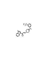 CC(c1cccc(C(F)(F)F)c1)N1CCC(C=CC(=O)c2cn(C)c3ccccc23)CC1